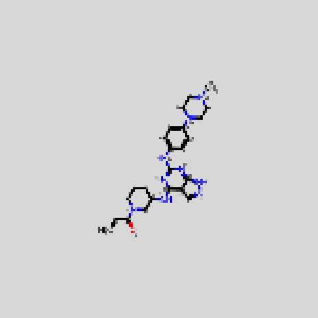 C=CC(=O)N1CCCC(Nc2nc(Nc3ccc(N4CCN(C)CC4)cc3)nc3[nH]ncc23)C1